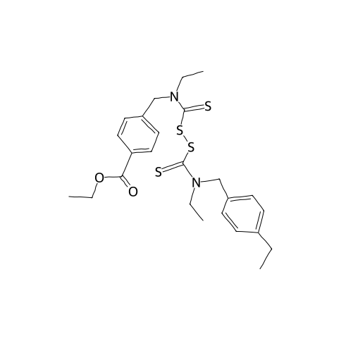 CCOC(=O)c1ccc(CN(CC)C(=S)SSC(=S)N(CC)Cc2ccc(CC)cc2)cc1